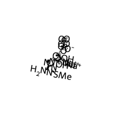 CSc1nc(N)c2ncn([C@@H]3O[C@H](COP(=O)([O-])OP(=O)([O-])[O-])[C@@H](O)[C@H]3O)c2n1.[Na+].[Na+].[Na+]